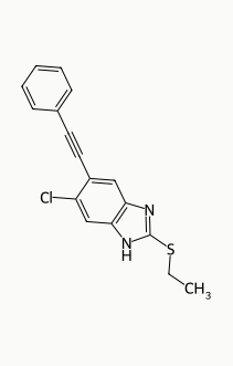 CCSc1nc2cc(C#Cc3ccccc3)c(Cl)cc2[nH]1